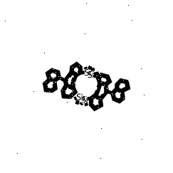 C[Si]1(C)c2cccc3c(-c4cccc5ccccc45)c4cccc(c4cc23)[Si](C)(C)[Si](C)(C)c2cccc3c(-c4cccc5ccccc45)c4cccc(c4cc23)[Si]1(C)C